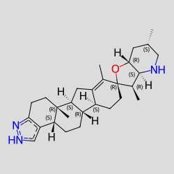 CC1=C2C[C@H]3[C@@H](CC[C@@H]4c5c[nH]nc5CC[C@@]43C)[C@@H]2CC[C@]12O[C@@H]1C[C@H](C)CN[C@H]1[C@H]2C